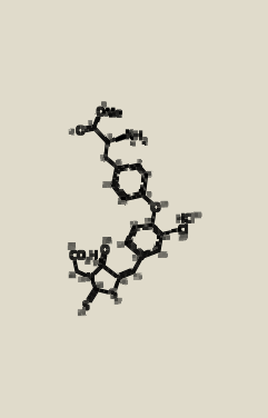 COC(=O)[C@@H](N)Cc1ccc(Oc2ccc(C=C3SC(=S)N(CC(=O)O)C3=O)cc2Cl)cc1.Cl